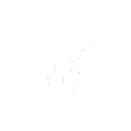 COC(=O)C1=NN(c2cccc(Cl)c2Cl)C(C)(C#N)C1